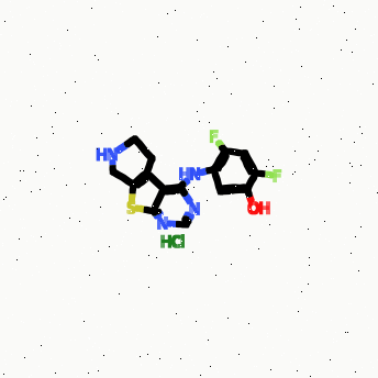 Cl.Oc1cc(Nc2ncnc3sc4c(c23)CCNC4)c(F)cc1F